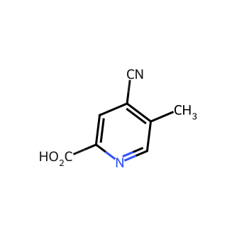 Cc1cnc(C(=O)O)cc1C#N